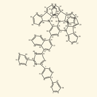 c1ccc(-c2ccc(-c3cc(-c4ccc(-c5cc(-n6c7ccccc7c7ccccc76)c(-n6c7ccccc7c7ccccc76)c(-n6c7ccccc7c7ccccc76)c5)c5ccccc45)nc(-c4ccccc4)n3)cc2)cc1